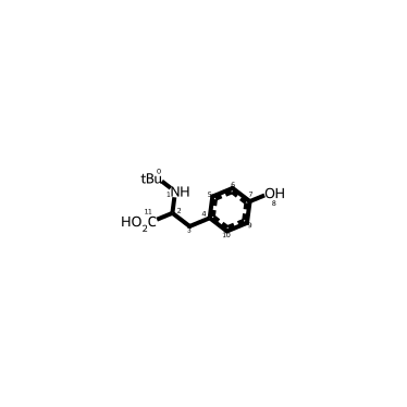 CC(C)(C)NC(Cc1ccc(O)cc1)C(=O)O